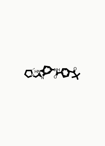 C[C@H]1CCCN1Cc1nc2cc(NC(=O)c3ccc(C(=O)C(C)(C)C)cc3)ccc2[nH]1